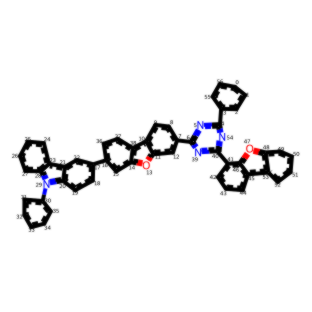 c1ccc(-c2nc(-c3ccc4c(c3)oc3cc(-c5ccc6c(c5)c5ccccc5n6-c5ccccc5)ccc34)nc(-c3cccc4c3oc3ccccc34)n2)cc1